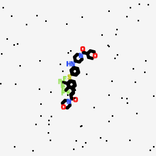 O=C(C=Cc1ccc(Sc2cccc(NC3CCN(C(=O)C4CCOCC4)CC3)c2)c(C(F)(F)F)c1C(F)(F)F)N1CCOCC1